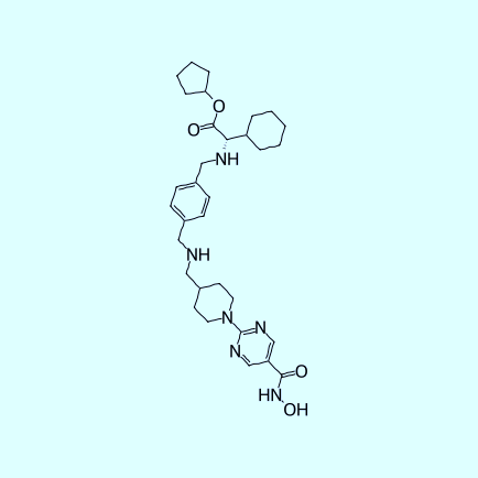 O=C(NO)c1cnc(N2CCC(CNCc3ccc(CN[C@H](C(=O)OC4CCCC4)C4CCCCC4)cc3)CC2)nc1